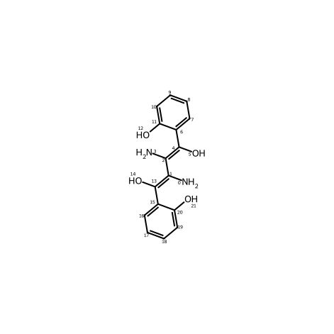 NC(C(N)=C(O)c1ccccc1O)=C(O)c1ccccc1O